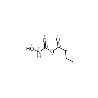 CCCC(=O)OC(=O)NO